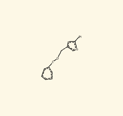 CC(C)c1cc(COCc2ccccc2)co1